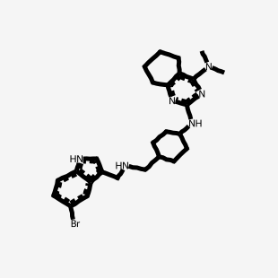 CN(C)c1nc(NC2CCC(CNCc3c[nH]c4ccc(Br)cc34)CC2)nc2c1CCCC2